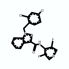 O=C(Nc1c(F)cncc1F)c1nn(Cc2ccc(Cl)cc2Cl)c2ccccc12